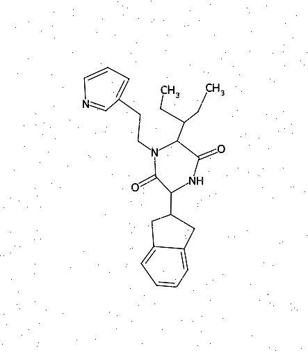 CCC(CC)C1C(=O)NC(C2Cc3ccccc3C2)C(=O)N1CCc1cccnc1